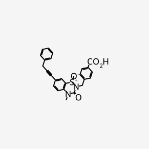 CN1C(=O)N(Cc2ccc(C(=O)O)cc2)[S+]([O-])c2cc(C#CCc3ccccc3)ccc21